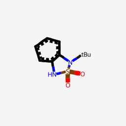 CC(C)(C)N1c2ccccc2NS1(=O)=O